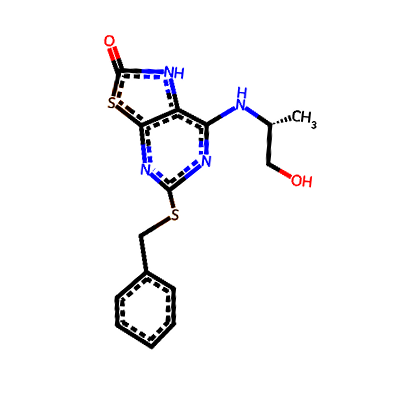 C[C@H](CO)Nc1nc(SCc2ccccc2)nc2sc(=O)[nH]c12